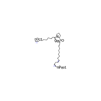 CCCCC/C=C\C/C=C\CCCCCCCCNC(=O)C1CCCN1C(=O)CCCCCCC/C=C\CCCCCCCC